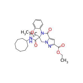 CCOC(=O)c1cc2n(n1)CC(C)(C(=O)NC1CCCCCCC1)N(c1ccccc1OC)C2=O